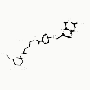 CC(=O)C1(OC(=O)CC[C@H](NC(=O)c2ccc(NCc3cnc4nc(N)[nH]c(=O)c4n3)cc2)C(=O)O)O[C@H](CO)[C@@H](O)[C@H](O)[C@H]1O